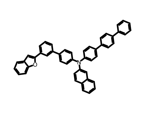 c1ccc(-c2ccc(-c3ccc(N(c4ccc(-c5cccc(-c6cc7ccccc7o6)c5)cc4)c4ccc5ccccc5c4)cc3)cc2)cc1